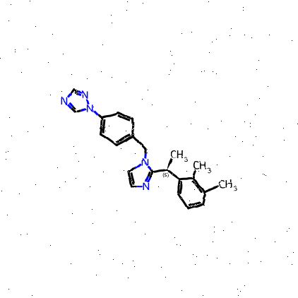 Cc1cccc([C@H](C)c2nccn2Cc2ccc(-n3cncn3)cc2)c1C